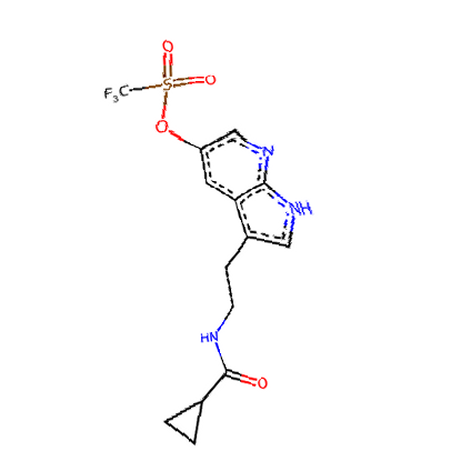 O=C(NCCc1c[nH]c2ncc(OS(=O)(=O)C(F)(F)F)cc12)C1CC1